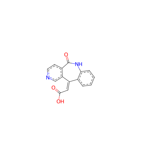 O=C(O)C=C1c2ccccc2NC(=O)c2ccncc21